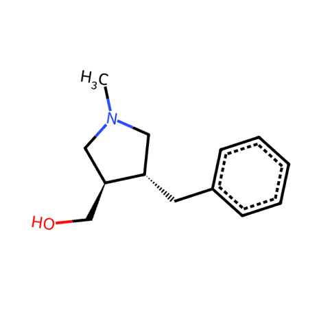 CN1C[C@H](CO)[C@@H](Cc2ccccc2)C1